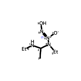 CCNC(C)N(CC)/[N+]([O-])=N/O